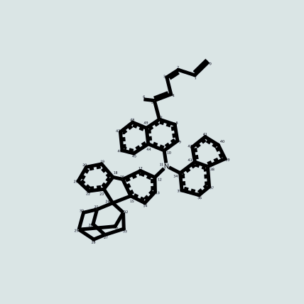 C=C/C=C\C=C(/C)c1ccc(N(c2ccc3c(c2)-c2ccccc2C32C3CC4CC(C3)CC2C4)c2cccc3ccccc23)c2ccccc12